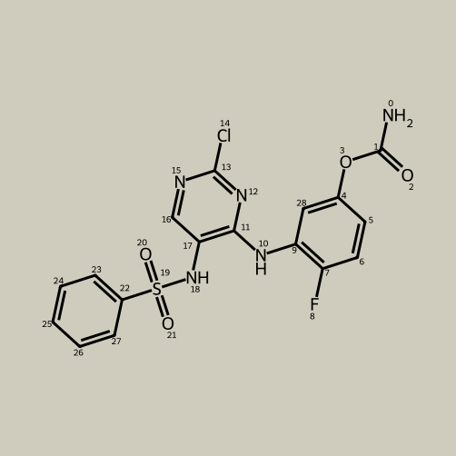 NC(=O)Oc1ccc(F)c(Nc2nc(Cl)ncc2NS(=O)(=O)c2ccccc2)c1